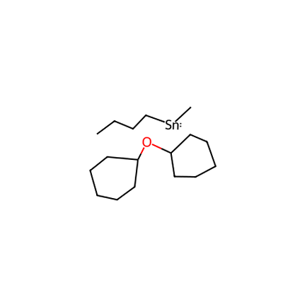 C1CCC(OC2CCCCC2)CC1.CCC[CH2][Sn][CH3]